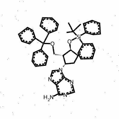 CC(C)(C)[Si](O[C@H]1CC[C@H](n2cnc3c(N)ncnc32)[C@@H]1COC(c1ccccc1)(c1ccccc1)c1ccccc1)(c1ccccc1)c1ccccc1